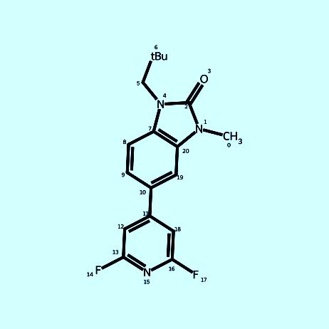 Cn1c(=O)n(CC(C)(C)C)c2ccc(-c3cc(F)nc(F)c3)cc21